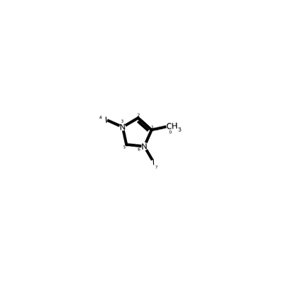 CC1=CN(I)CN1I